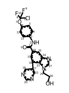 O=C(Nc1ccc(OC(F)(F)Cl)cc1)c1cc(-c2cncnc2)c2c(c1)ncn2CCO